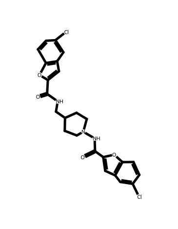 O=C(NCC1CCN(NC(=O)c2cc3cc(Cl)ccc3o2)CC1)c1cc2cc(Cl)ccc2o1